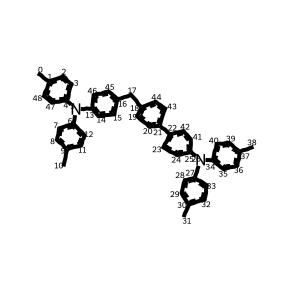 Cc1ccc(N(c2ccc(C)cc2)c2ccc(Cc3ccc(-c4ccc(N(c5ccc(C)cc5)c5ccc(C)cc5)cc4)cc3)cc2)cc1